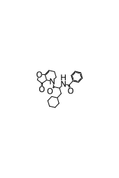 O=C(NC(CC1CCCCC1)C(=O)N1CCC=C2OCC(=O)C21)c1ccccc1